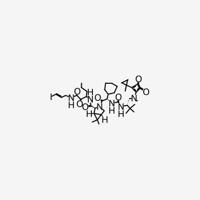 CCCC(NC(=O)[C@@H]1[C@@H]2[C@H](CN1C(=O)[C@@H](NC(=O)N[C@H](CN(C)c1c(C3(C)CC3)c(=O)c1=O)C(C)(C)C)C1CCCCC1)C2(C)C)C(=O)C(=O)NC/C=C/I